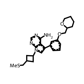 CSCC1CC(n2cc(-c3cccc(OCC4CCCCO4)c3)c3c(N)ncnc32)C1